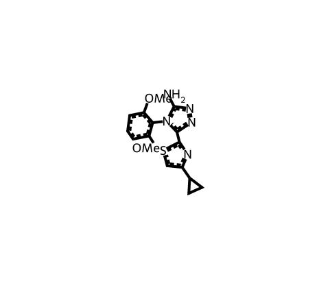 COc1cccc(OC)c1-n1c(N)nnc1-c1nc(C2CC2)cs1